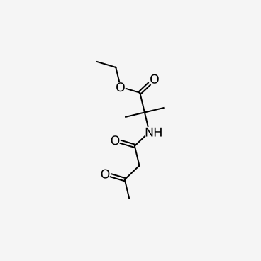 CCOC(=O)C(C)(C)NC(=O)CC(C)=O